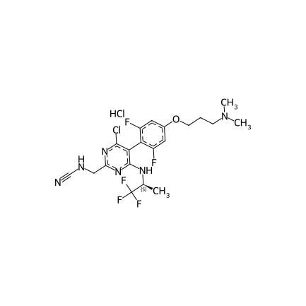 C[C@H](Nc1nc(CNC#N)nc(Cl)c1-c1c(F)cc(OCCCN(C)C)cc1F)C(F)(F)F.Cl